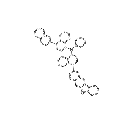 c1ccc(N(c2ccc(-c3ccc4ccccc4c3)c3ccccc23)c2ccc(-c3ccc4cc5oc6ccccc6c5cc4c3)c3ccccc23)cc1